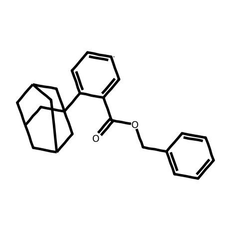 O=C(OCc1ccccc1)c1c[c]ccc1C12CC3CC(CC(C3)C1)C2